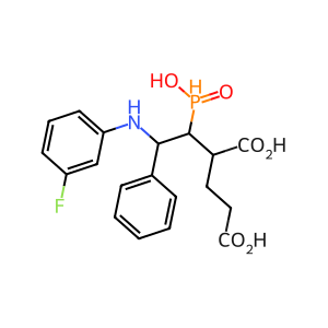 O=C(O)CCC(C(=O)O)C(C(Nc1cccc(F)c1)c1ccccc1)[PH](=O)O